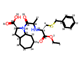 CCOC(=O)[C@@H](CSCc1ccccc1)NC(C)C(=O)N1C2CCCCCC2C[C@H]1C(=O)O